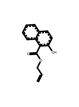 C=CCOC(=O)c1c(O)ccc2ccccc12